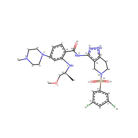 COC[C@H](C)Nc1cc(N2CCN(C)CC2)ccc1C(=O)Nc1n[nH]c2c1CN(S(=O)(=O)c1cc(F)cc(F)c1)CC2